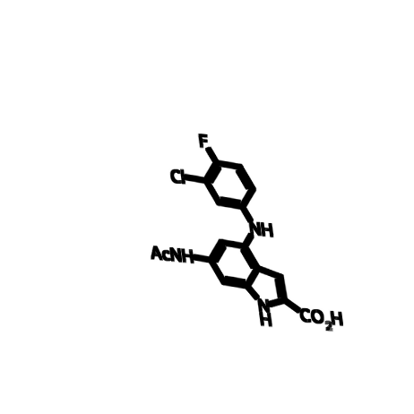 CC(=O)Nc1cc(Nc2ccc(F)c(Cl)c2)c2cc(C(=O)O)[nH]c2c1